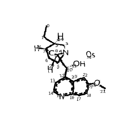 CC[C@H]1C[N@]2CC[C@H]1C[C@H]2[C@H](O)c1ccnc2ccc(OC)cc12.[Os]